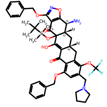 CC(C)(C)[Si](C)(C)OC12C(=O)c3c(OCc4ccccc4)noc3[C@@H](N)[C@@H]1C[C@@H]1Cc3c(OC(F)(F)F)c(CN4CCCC4)cc(OCc4ccccc4)c3C(=O)C1=C2O